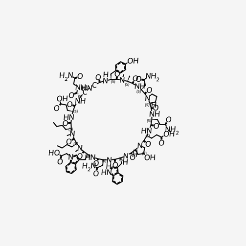 CCCC[C@H]1C(=O)N(C)[C@@H](CCCC)C(=O)N[C@@H](CCC(=O)O)C(=O)N[C@H](C(=O)NCC(N)=O)CNCC(=O)N[C@@H](Cc2ccc(O)cc2)C(=O)N(C)[C@@H](C)C(=O)N[C@@H](CC(N)=O)C(=O)N2CCC[C@H]2C(=O)N[C@@H](CCC(N)=O)C(=O)N[C@@H](CCC(=O)O)C(=O)N2C[C@H](O)C[C@H]2C(=O)N[C@@H](Cc2c[nH]c3ccccc23)C(=O)N[C@@H](CC(N)=O)C(=O)N[C@@H](Cc2cn(CC(=O)O)c3ccccc23)C(=O)N1C